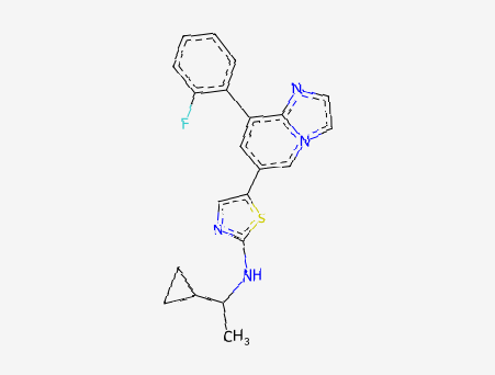 CC(Nc1ncc(-c2cc(-c3ccccc3F)c3nccn3c2)s1)C1CC1